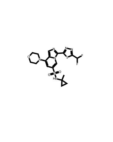 CC1(NS(=O)(=O)c2cc(N3CCOCC3)c3cnc(-c4nnc(C(F)F)s4)n3c2)CC1